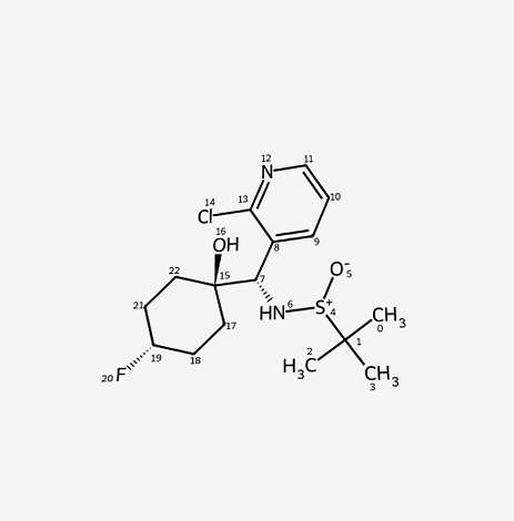 CC(C)(C)[S+]([O-])N[C@@H](c1cccnc1Cl)[C@]1(O)CC[C@H](F)CC1